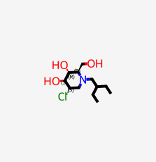 CCC(CC)CN1C[C@H](Cl)[C@@H](O)[C@H](O)[C@H]1CO